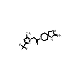 Cc1cc(C(F)(F)F)nn1CC(=O)N1CCC2(CC1)CNC(=N)N2